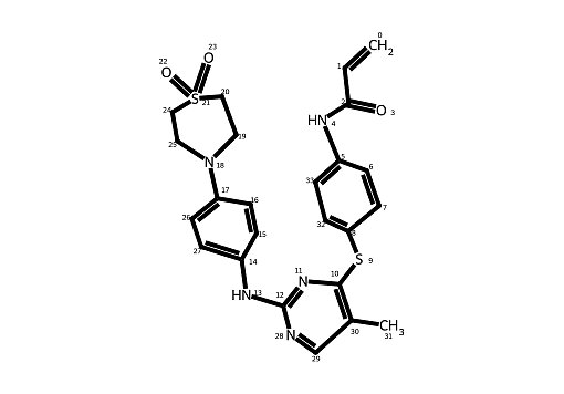 C=CC(=O)Nc1ccc(Sc2nc(Nc3ccc(N4CCS(=O)(=O)CC4)cc3)ncc2C)cc1